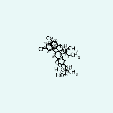 CC=C(CC)[C@H]1N(CC(=O)NC(C)(C)CO)C(=O)C[C@@H](c2cccc(Cl)c2)[C@]12C(=O)Nc1cc(Cl)ccc12